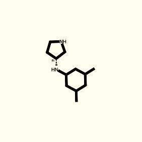 CC1CC(C)CC(N[C@@H]2CCNC2)C1